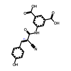 N#C/C(=C\c1ccc(O)cc1)C(=O)Nc1cc(C(=O)O)cc(C(=O)O)c1